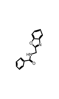 O=C(NCc1nc2ccccc2o1)c1ccccc1